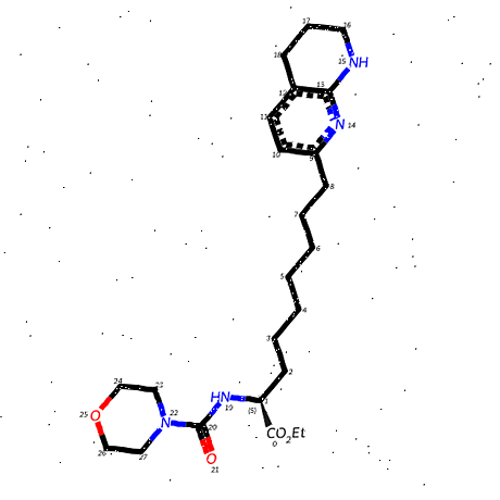 CCOC(=O)[C@H](CCCCCCCc1ccc2c(n1)NCCC2)NC(=O)N1CCOCC1